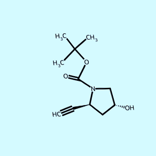 C#C[C@@H]1C[C@@H](O)CN1C(=O)OC(C)(C)C